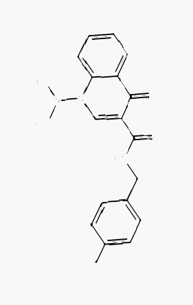 CN(C)n1cc(C(=O)NCc2ccc(Cl)cc2)c(=O)c2ccccc21